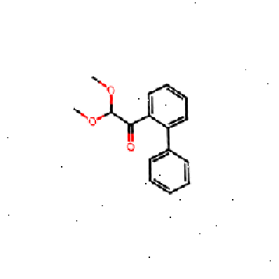 COC(OC)C(=O)c1ccccc1-c1ccccc1